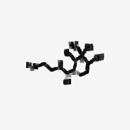 C[C@@]1(O)C(O)=CC[C@H]([C@H](O)NCCN)C1Cl